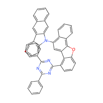 c1ccc(-c2nc(-c3ccccc3)nc(-c3cccc4oc5c6ccccc6c(-n6c7ccccc7c7cc8ccccc8cc76)cc5c34)n2)cc1